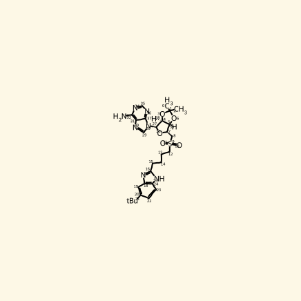 CC1(C)O[C@H]2[C@H](O1)[C@@H](CS(=O)(=O)CCCCc1nc3cc(C(C)(C)C)ccc3[nH]1)O[C@H]2n1cnc2c(N)ncnc21